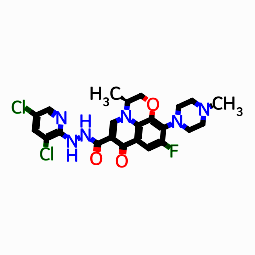 C[C@H]1COc2c(N3CCN(C)CC3)c(F)cc3c(=O)c(C(=O)NNc4ncc(Cl)cc4Cl)cn1c23